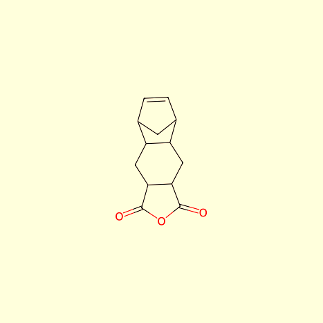 O=C1OC(=O)C2CC3C4C=CC(C4)C3CC12